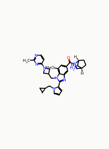 COc1cc(C(=O)N2C[C@H]3CC[C@@H]2[C@@H]3N)cc2nc(-c3cccn3CC3CC3)n(CC3CN(c4ccnc(C)n4)C3)c12